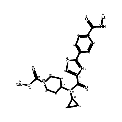 CCNC(=O)c1ccc(-c2nc(C(=O)N(C3CC3)C3CCN(C(=O)OC(C)(C)C)CC3)co2)cc1